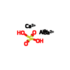 O=S(=O)(O)O.[Al+3].[Ba+2].[Ca+2]